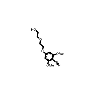 COc1cc(OCCOCCO)cc(OC)c1[N+]#N